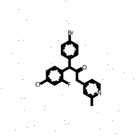 Cc1cc(CC(=O)C(c2ccc(Br)cc2)c2ccc(Cl)cc2F)ccn1